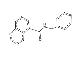 O=C(NCc1ccncc1)c1cncc2ccccc12